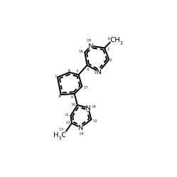 Cc1cnc(-c2cccc(-c3cc(C)ncn3)c2)cn1